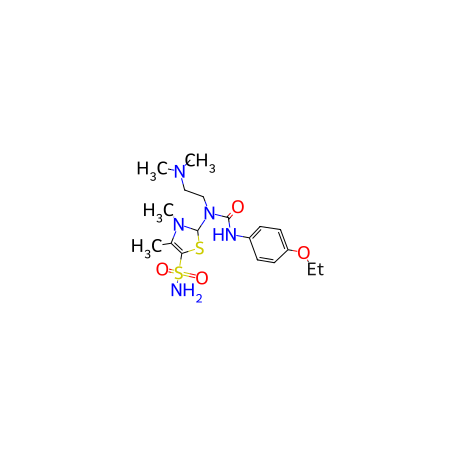 CCOc1ccc(NC(=O)N(CCN(C)C)C2SC(S(N)(=O)=O)=C(C)N2C)cc1